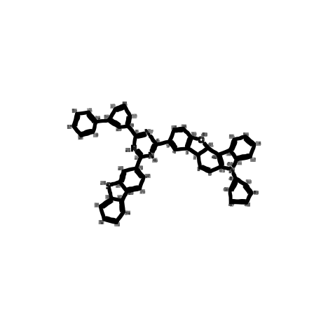 C1=CC2c3cc(-c4nc(-c5cccc(-c6ccccc6)c5)nc(-c5ccc6c(c5)sc5ccccc56)n4)ccc3OC2c2c1n(-c1ccccc1)c1ccccc21